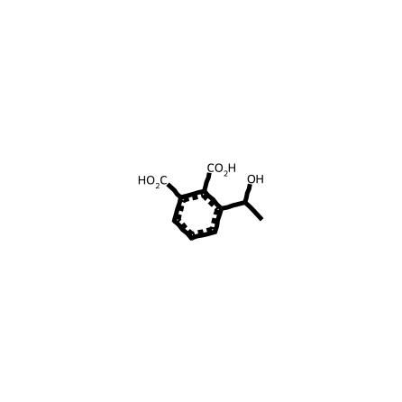 CC(O)c1cccc(C(=O)O)c1C(=O)O